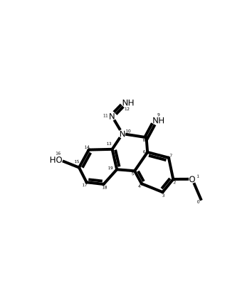 COc1ccc2c(c1)c(=N)n(N=N)c1cc(O)ccc21